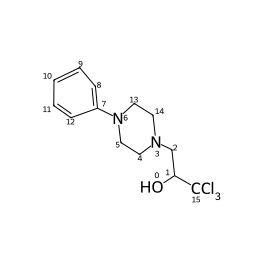 OC(CN1CCN(c2ccccc2)CC1)C(Cl)(Cl)Cl